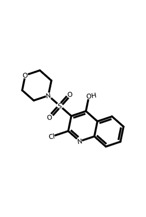 O=S(=O)(c1c(Cl)nc2ccccc2c1O)N1CCOCC1